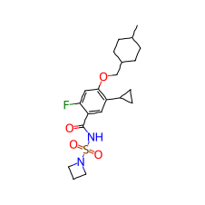 CC1CCC(COc2cc(F)c(C(=O)NS(=O)(=O)N3CCC3)cc2C2CC2)CC1